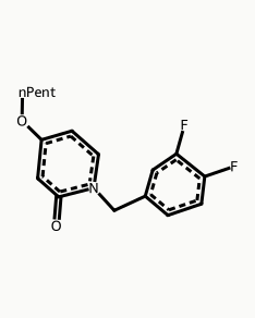 CCCCCOc1ccn(Cc2ccc(F)c(F)c2)c(=O)c1